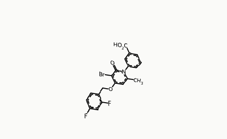 Cc1cc(OCc2ccc(F)cc2F)c(Br)c(=O)n1-c1cccc(C(=O)O)c1